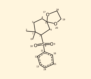 CC1(C)CCC2(CC1S(=O)(=O)c1ccccc1)OCCO2